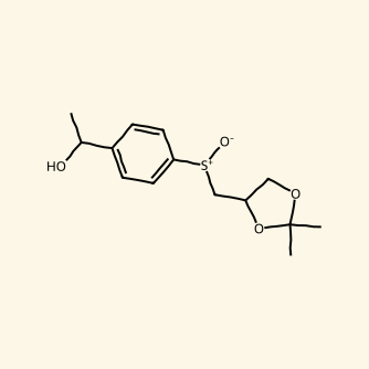 CC(O)c1ccc([S+]([O-])CC2COC(C)(C)O2)cc1